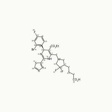 CCOC(=O)C1=C(CN2CC(CSCC(=O)O)C(F)(F)C2)NC(c2nccs2)=N[C@H]1c1ccc(F)cc1Br